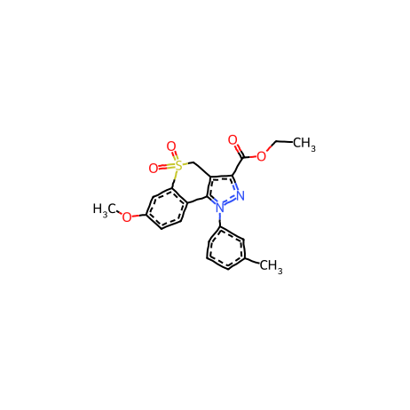 CCOC(=O)c1nn(-c2cccc(C)c2)c2c1CS(=O)(=O)c1cc(OC)ccc1-2